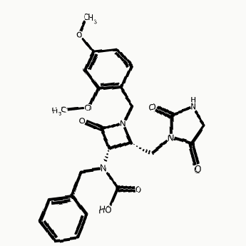 COc1ccc(CN2C(=O)[C@@H](N(Cc3ccccc3)C(=O)O)[C@H]2CN2C(=O)CNC2=O)c(OC)c1